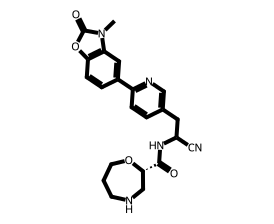 Cn1c(=O)oc2ccc(-c3ccc(CC(C#N)NC(=O)[C@@H]4CNCCCO4)cn3)cc21